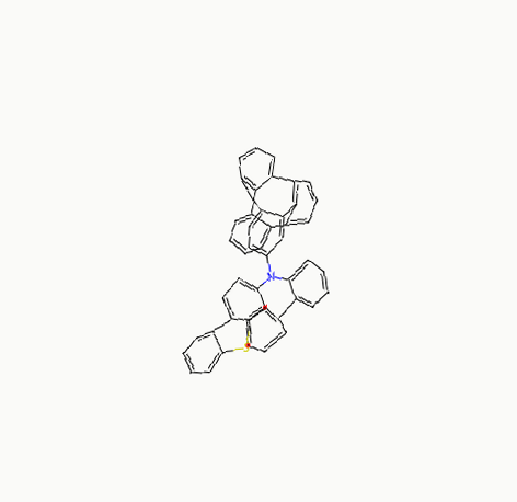 c1ccc(-c2ccccc2N(c2ccc3c(c2)-c2c4cccc2-c2cccc-3c2-c2ccccc2-4)c2ccc3c(c2)sc2ccccc23)cc1